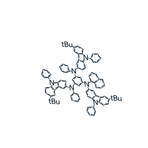 CC(C)(C)c1ccc2c(c1)c1cc(N(c3ccccc3)c3cc(N(c4ccccc4)c4ccc5c(c4)c4cc(C(C)(C)C)ccc4n5-c4ccccc4)cc(N(c4ccc5c(c4)c4cc(C(C)(C)C)ccc4n5-c4ccccc4)c4cccc5ccccc45)c3)ccc1n2-c1ccccc1